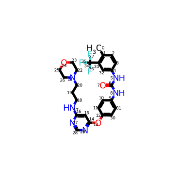 Cc1ccc(NC(=O)Nc2ccc(Oc3cc(NCCCN4CCOCC4)ncn3)cc2)cc1C(F)(F)F